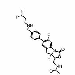 CC(=O)NC[C@@H]1OC(=O)N2c3cc(F)c(-c4ccc(CNCCC(F)F)cc4)cc3C[C@@H]12